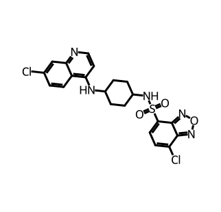 O=S(=O)(NC1CCC(Nc2ccnc3cc(Cl)ccc23)CC1)c1ccc(Cl)c2nonc12